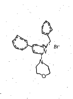 [Br-].c1ccc(C[n+]2cc(-c3ccccc3)cc(N3CCOCC3)n2)cc1